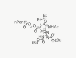 CCCCCC(=O)OCOC(=O)C1=C[C@@H](OC(CC)CC)[C@H](NC(C)=O)[C@@H](N/C(=N\C(=O)OC(C)(C)C)NC(=O)OC(C)(C)C)C1